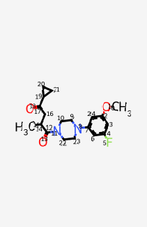 COc1cc(F)cc(N2CCN(C(=O)C(C)CC(=O)C3CC3)CC2)c1